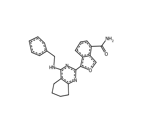 NC(=O)c1cccc2c(-c3nc4c(c(NCc5ccccc5)n3)CCCC4)occ12